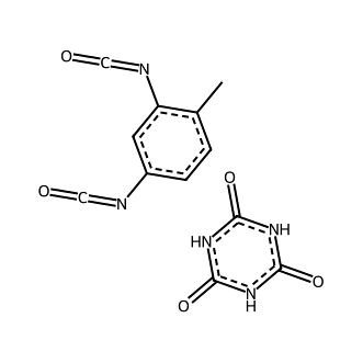 Cc1ccc(N=C=O)cc1N=C=O.O=c1[nH]c(=O)[nH]c(=O)[nH]1